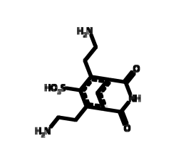 NCCc1c2cc(c(CCN)c1S(=O)(=O)O)C(=O)NC2=O